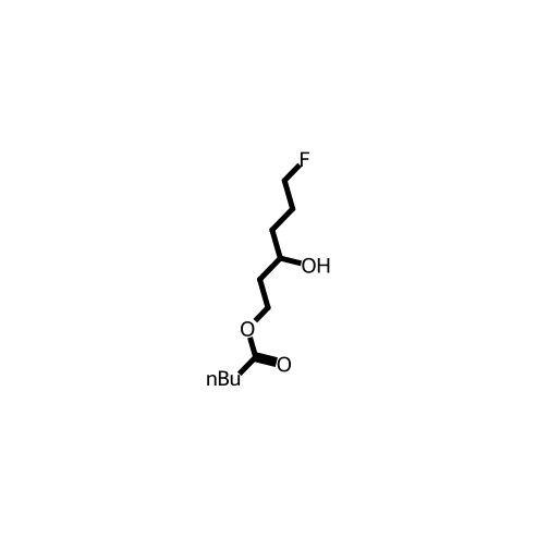 CCCCC(=O)OCCC(O)CCCF